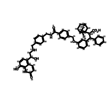 O=C(NCc1ccc(CNC[C@@H](O)c2ccc(O)c3[nH]c(=O)ccc23)cc1)c1ccc(COc2cccc(C(c3ccccc3)N(C(=O)O)[C@H]3CN4CCC3CC4)c2)cc1